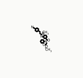 CCOC(=O)CN(C(=O)c1ccc2c(c1)nc(CCc1ccc(C#N)cc1)n2C)c1ccccc1